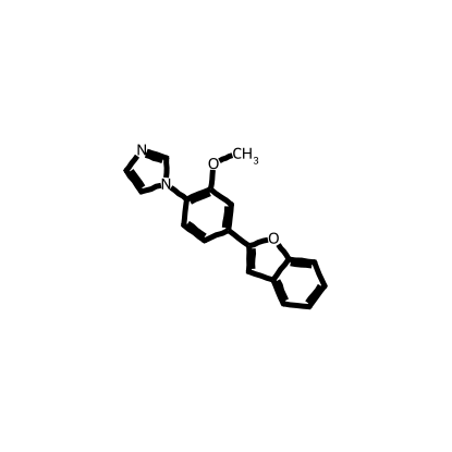 COc1cc(-c2cc3ccccc3o2)ccc1-n1ccnc1